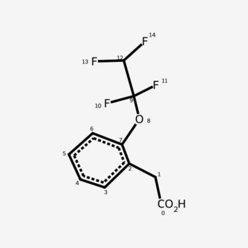 O=C(O)Cc1ccccc1OC(F)(F)C(F)F